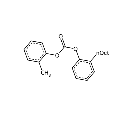 CCCCCCCCc1ccccc1OC(=O)Oc1ccccc1C